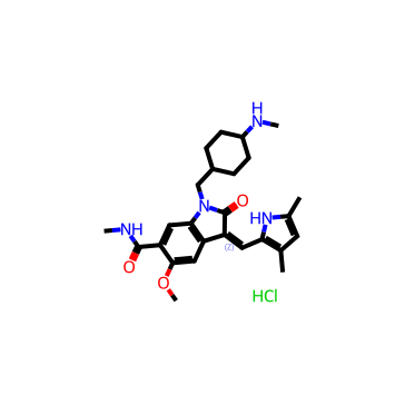 CNC(=O)c1cc2c(cc1OC)/C(=C/c1[nH]c(C)cc1C)C(=O)N2CC1CCC(NC)CC1.Cl